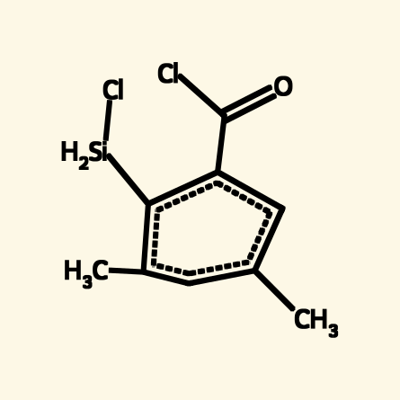 Cc1cc(C)c([SiH2]Cl)c(C(=O)Cl)c1